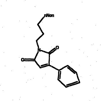 CCCCCCCCCCCCN1C(=O)C=C(c2ccccc2)C1=O